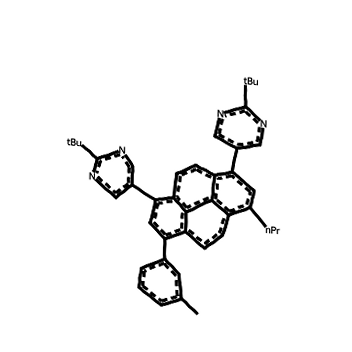 CCCc1cc(-c2cnc(C(C)(C)C)nc2)c2ccc3c(-c4cnc(C(C)(C)C)nc4)cc(-c4cccc(C)c4)c4ccc1c2c34